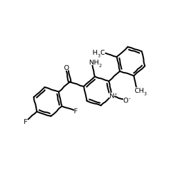 Cc1cccc(C)c1-c1c(N)c(C(=O)c2ccc(F)cc2F)cc[n+]1[O-]